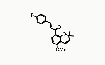 COc1ccc(C(=O)C=Cc2ccc(F)cc2)c2c1C=CC(C)(C)O2